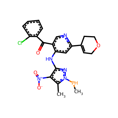 CPn1nc(Nc2cc(C3=CCOCC3)ncc2C(=O)c2ccccc2Cl)c([N+](=O)[O-])c1C